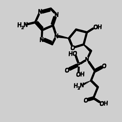 Nc1ncnc2c1ncn2[C@H]1CC(O)[C@@H](CN(C(=O)[C@@H](N)CC(=O)O)P(=O)(O)O)O1